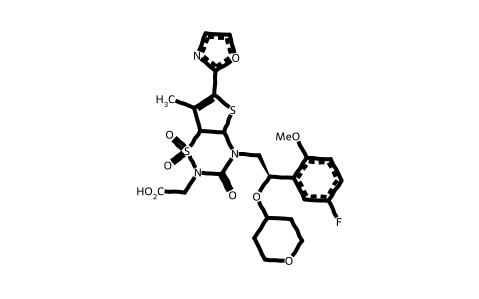 COc1ccc(F)cc1[C@H](CN1C(=O)N(CC(=O)O)S(=O)(=O)C2C(C)=C(c3ncco3)SC21)OC1CCOCC1